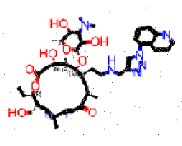 CC[C@H]1OC(=O)C[C@@H](O)[C@H](C)[C@@H](O[C@@H]2O[C@H](C)C(O)C(N(C)C)C2O)[C@@H](CCNCc2cn(-c3cccc4ncccc34)nn2)C[C@@H](C)C(=O)/C=C/C(C)=C/[C@@H]1CO